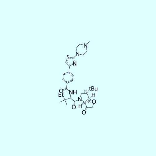 CCC(C)(C)C(NC(=O)c1ccc(-c2csc(N3CCN(C)CC3)n2)cc1)C(=O)N1C[C@H](C(C)(C)C)[C@H]2OCC(=O)[C@H]21